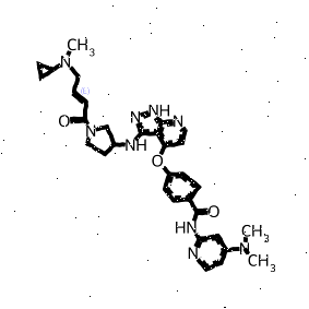 CN(C)c1ccnc(NC(=O)c2ccc(Oc3ccnc4[nH]nc(NC5CCN(C(=O)/C=C/CN(C)C6CC6)C5)c34)cc2)c1